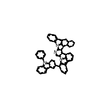 c1ccc(-n2c3ccccc3c3cc(-c4cccc5c6cccc7c8c9c%10c%11ccccc%11cc%11c%12ccccc%12n(c9ncc8n(c45)c67)c%11%10)ccc32)cc1